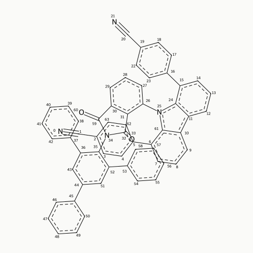 N#Cc1ccc(-c2cccc3c4cccc(-c5ccc(C#N)cc5)c4n(-c4cccc5c4C(=O)N(c4c(-c6ccccc6)cc(-c6ccccc6)cc4-c4ccccc4)C5=O)c23)cc1